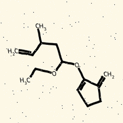 C=CC(C)CC(OCC)OC1=CCCC1=C